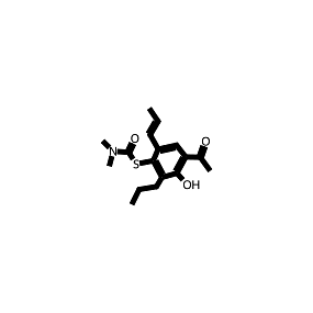 CC=Cc1cc(C(C)=O)c(O)c(CCC)c1SC(=O)N(C)C